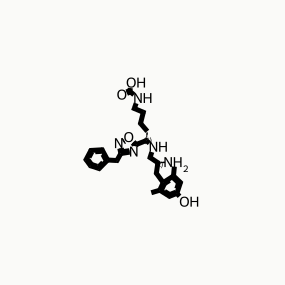 Cc1cc(O)cc(C)c1C[C@@H](N)CN[C@@H](CCCCNC(=O)O)c1nc(Cc2ccccc2)no1